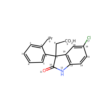 CC(C)c1ccccc1C1(CC(=O)O)C(=O)Nc2ccc(Cl)cc21